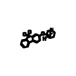 O=S1(=O)c2ccccc2-c2ccc(O[C@H]3CN4CCC3CC4)cc21